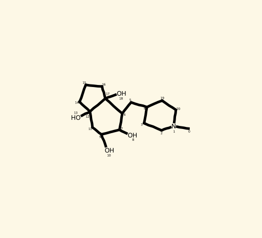 CN1CCC(CC2C(O)C(O)CC3(O)CCCC23O)CC1